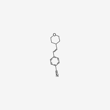 N#Cc1ccc(C=CC2CCOCC2)cc1